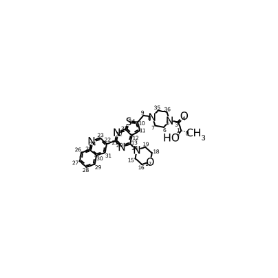 C[C@H](O)C(=O)N1CCN(Cc2cc3c(N4CCOCC4)nc(-c4cnc5ccccc5c4)nc3s2)CC1